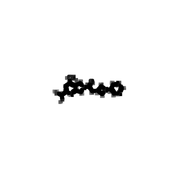 Cc1cc(C(F)F)nc2c1CN(C(=O)CC1CN(c3cncnc3)C1)C2